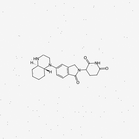 O=C1CCC(N2Cc3cc(N4CCN[C@@H]5CCCC[C@H]54)ccc3C2=O)C(=O)N1